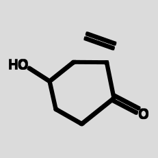 C=C.O=C1CCC(O)CC1